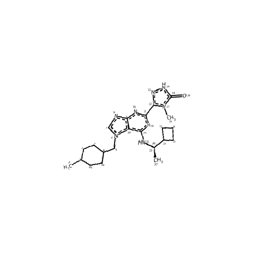 CC1CCC(Cn2cnc3nc(-c4n[nH]c(=O)n4C)nc(N[C@H](C)C4CCC4)c32)CC1